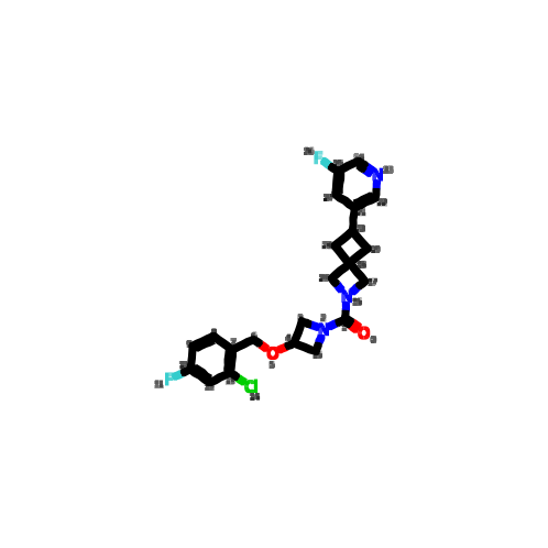 O=C(N1CC(OCc2ccc(F)cc2Cl)C1)N1CC2(CC(c3cncc(F)c3)C2)C1